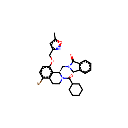 Cc1cc(COc2ccc(Br)c3c2[C@@H](CN2Cc4ccccc4C2=O)N(C(=O)C2CCCCC2)CC3)no1